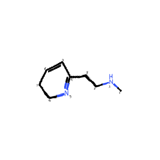 CNCCC1=NCCC=C1